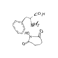 NC(Cc1ccccc1)C(=O)O.O=C1CCC(=O)N1O